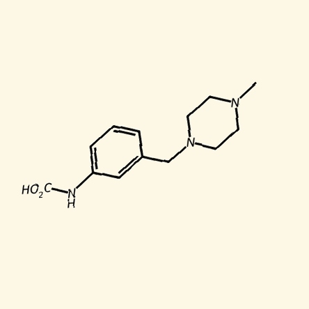 CN1CCN(Cc2cccc(NC(=O)O)c2)CC1